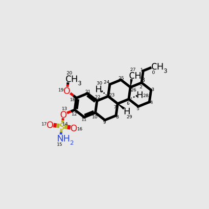 CCC1CCC[C@H]2[C@@H]3CCc4cc(OS(N)(=O)=O)c(OC)cc4[C@H]3CC[C@]12C